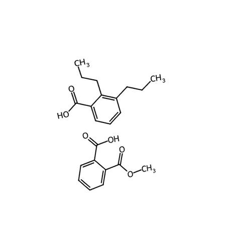 CCCc1cccc(C(=O)O)c1CCC.COC(=O)c1ccccc1C(=O)O